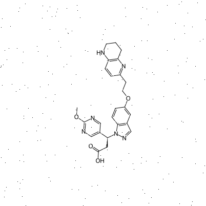 COc1ncc([C@H](CC(=O)O)n2ncc3cc(OCCc4ccc5c(n4)CCCN5)ccc32)cn1